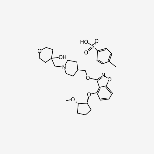 CO[C@H]1CCC[C@@H]1Oc1cccc2onc(OCC3CCN(CC4(O)CCOCC4)CC3)c12.Cc1ccc(S(=O)(=O)O)cc1